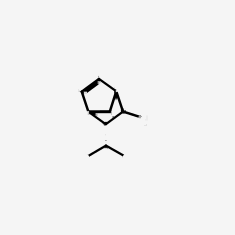 CC(C)[C@@H]1C2C=CC(C2)C1N